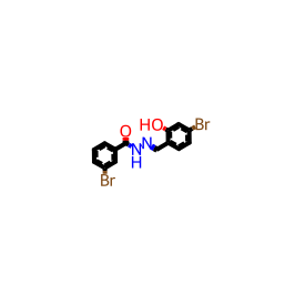 O=C(N/N=C/c1ccc(Br)cc1O)c1cccc(Br)c1